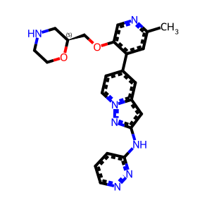 Cc1cc(-c2ccn3nc(Nc4cccnn4)cc3c2)c(OC[C@@H]2CNCCO2)cn1